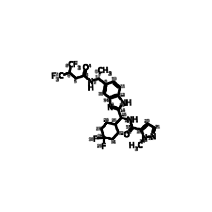 C[C@@H](NC(=O)CC(C(F)(F)F)C(F)(F)F)c1ccc2[nH]c([C@@H](NC(=O)c3ccnn3C)C3CCC(F)(F)CC3)nc2c1